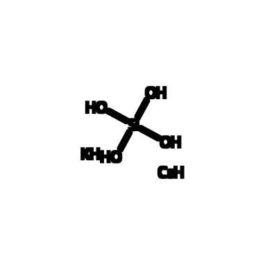 O[Si](O)(O)O.[CsH].[KH]